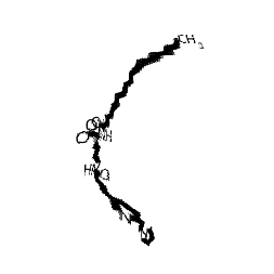 CCC=CCC=CCC=CCC=CCC=CCCCC(=O)N[C@@H](CCCCNC(=O)CC=Cc1ccc(CCN2CCCC2)nc1)C(=O)O